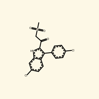 CS(=O)(=O)CC(=O)c1[nH]c2cc(Cl)ccc2c1-c1ccc(Cl)cc1